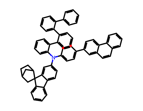 c1ccc(-c2ccccc2-c2ccccc2-c2ccccc2N(c2ccc(-c3ccc4c(ccc5ccccc54)c3)cc2)c2ccc3c(c2)C2(CC4CCC2C4)c2ccccc2-3)cc1